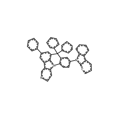 c1ccc(-c2cc3c4c(c2)c2cnccc2n4-c2ccc(-n4c5ccccc5c5ccccc54)cc2C3(c2ccccc2)c2ccccc2)cc1